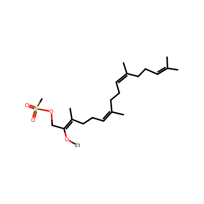 CCOC(COS(C)(=O)=O)=C(C)CCC=C(C)CCC=C(C)CCC=C(C)C